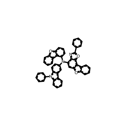 c1ccc(-c2nc3c(N(c4ccc5c(c4)c4ccccc4n5-c4ccccc4)c4cccc5oc6ccccc6c45)cc4oc5ccccc5c4c3o2)cc1